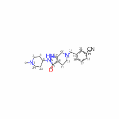 CN1CCC(n2[nH]c3c(c2=O)CCN(Cc2cccc(C#N)c2)C3)CC1